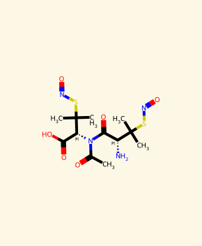 CC(=O)N(C(=O)[C@@H](N)C(C)(C)SN=O)[C@H](C(=O)O)C(C)(C)SN=O